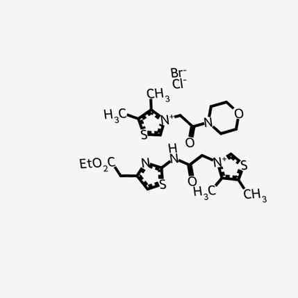 CCOC(=O)Cc1csc(NC(=O)C[n+]2csc(C)c2C)n1.Cc1sc[n+](CC(=O)N2CCOCC2)c1C.[Br-].[Cl-]